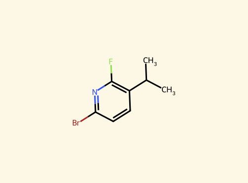 CC(C)c1ccc(Br)nc1F